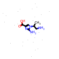 CC(CN)n1cc(C(=O)O)nc1N